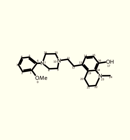 COc1ccccc1N1CCN(CCc2ccc(O)c3c2CCCN3C)CC1